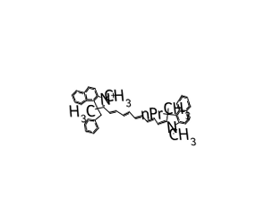 CCCC1(C)\C(=C/C=C/C=C/C=C/C=C/C2=[N+](C)c3ccc4ccccc4c3C2(C)Cc2ccccc2)N(C)c2ccc3ccccc3c21